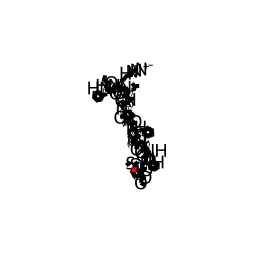 CCC(=O)N[C@@H](Cc1ccccc1)C(=O)N[C@@H](CCCCN=[N+]=[N-])C(=O)N[C@@H](CC(C)C)C(=O)N(C)[C@@H](C)C(=O)N(C)[C@H]1CC(C)N([C@@H](C)C(=O)N(C)[C@@H](Cc2ccccc2)C(=O)N(C)[C@@H](C)C(=O)N[C@@H](C)C(=O)N[C@@H](Cc2ccccc2)C(=O)N[C@@H](CSSC)C(=O)N2CCC[C@H]2C(=O)OC)C1=O